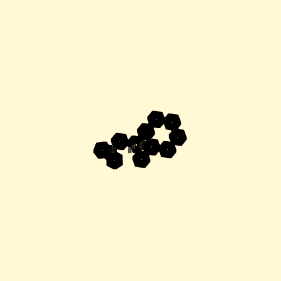 c1ccc(-c2cccc(-c3cccc(-c4ccc(-c5cc(-c6cccc(-n7c8ccccc8c8ccccc87)c6)nc(-c6ccccc6-c6cccc(-c7ccccc7)c6)n5)cc4)c3)c2)cc1